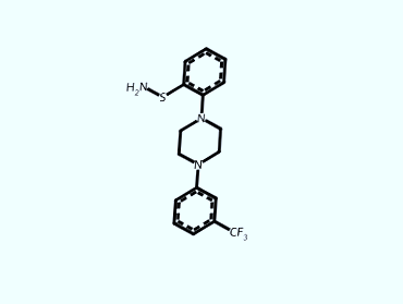 NSc1ccccc1N1CCN(c2cccc(C(F)(F)F)c2)CC1